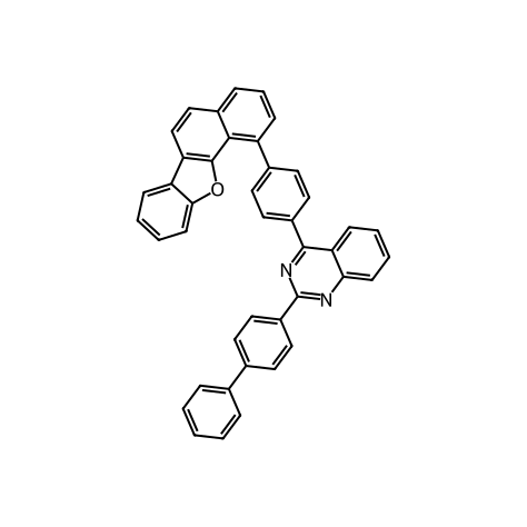 c1ccc(-c2ccc(-c3nc(-c4ccc(-c5cccc6ccc7c8ccccc8oc7c56)cc4)c4ccccc4n3)cc2)cc1